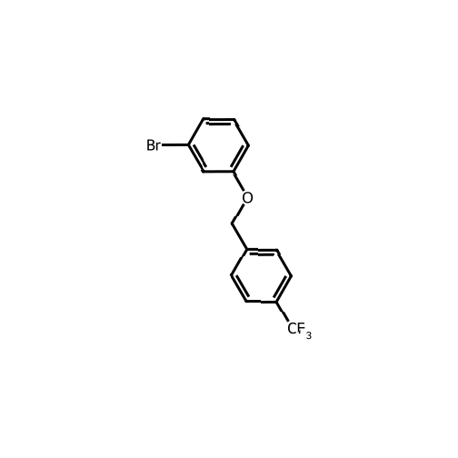 FC(F)(F)c1ccc(COc2cccc(Br)c2)cc1